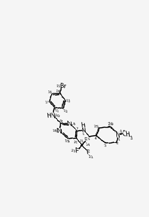 CN1CCC(CNc2nc(Nc3ccc(Br)cc3)ncc2C(F)(F)F)CC1